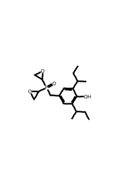 CCC(C)c1cc(CP(=O)(C2CO2)C2CO2)cc(C(C)CC)c1O